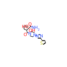 CC(C)CC(C(=O)N1CCN(n2cnc(-c3cccs3)c2)CC1)C(O)(O)C(N)=O